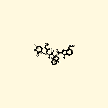 COc1cccc2[nH]c(C(=O)N3C[C@@H]4CCC[C@@H]4[C@H]3C(=O)N[C@@H](C[C@@H]3CC[C@@H](C)NC3=O)C(=O)CO)cc12